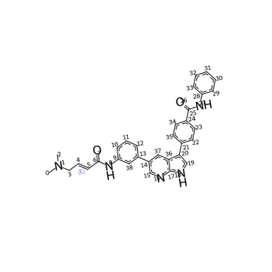 CN(C)C/C=C/C(=O)Nc1cccc(-c2cnc3[nH]cc(-c4ccc(C(=O)Nc5ccccc5)cc4)c3c2)c1